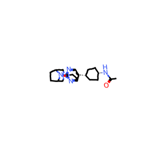 CCN1CC2CCC(C1)N2c1ncc([C@H]2CC[C@@H](NC(C)=O)CC2)cn1